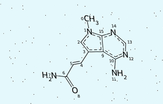 Cn1cc(/C=C/C(N)=O)c2c(N)ncnc21